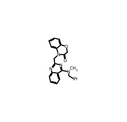 CC(C)CN(C)c1nc(CN2C(=O)COc3ccccc32)nc2ccccc12